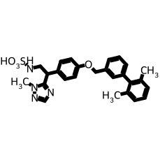 Cc1cccc(C)c1-c1cccc(COc2ccc(C(CNS(=O)(=O)O)c3ncnn3C)cc2)c1